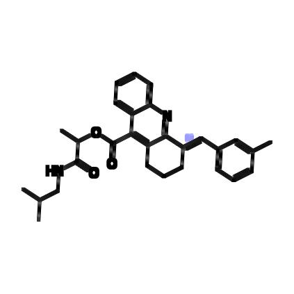 Cc1cccc(/C=C2\CCCc3c2nc2ccccc2c3C(=O)OC(C)C(=O)NCC(C)C)c1